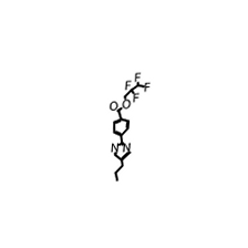 CCCc1cnc(-c2ccc(C(=O)OCC(F)(F)C(F)F)cc2)nc1